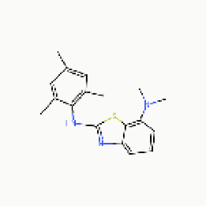 Cc1cc(C)c(Nc2nc3cccc(N(C)C)c3s2)c(C)c1